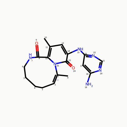 C/C1=C/CCCCNC(=O)c2c(C)cc(Nc3cc(N)ncn3)c(=O)n21